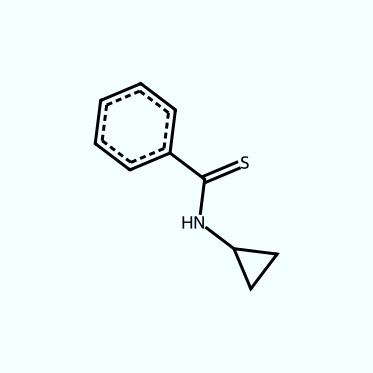 S=C(NC1CC1)c1ccccc1